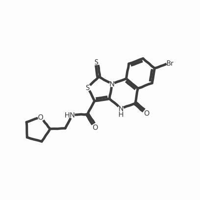 O=C(NCC1CCCO1)c1sc(=S)n2c1[nH]c(=O)c1cc(Br)ccc12